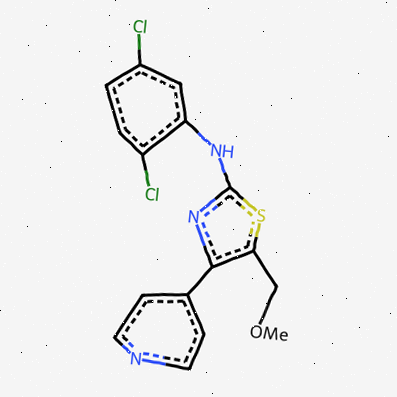 COCc1sc(Nc2cc(Cl)ccc2Cl)nc1-c1ccncc1